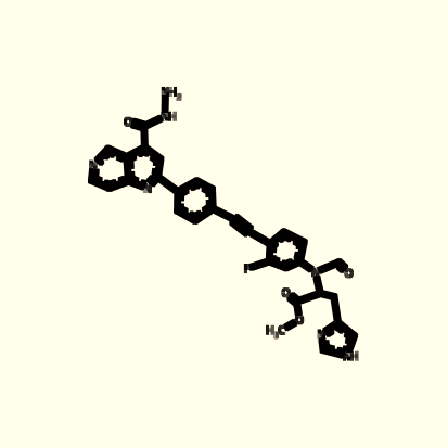 COC(=O)C(Cc1c[nH]cn1)N(C=O)c1ccc(C#Cc2ccc(-c3cc(C(=O)NN)c4cnccc4n3)cc2)c(F)c1